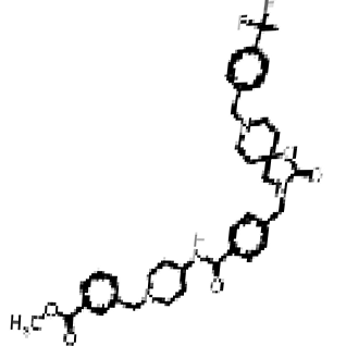 COC(=O)c1cccc(CN2CCC(NC(=O)c3ccc(CN4CC5(CCN(Cc6ccc(C(F)(F)F)cc6)CC5)OC4=O)cc3)CC2)c1